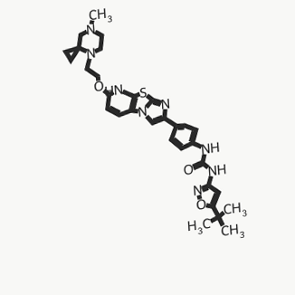 CN1CCN(CCOC2C=Cc3c(sc4nc(-c5ccc(NC(=O)Nc6cc(C(C)(C)C)on6)cc5)cn34)N2)C2(CC2)C1